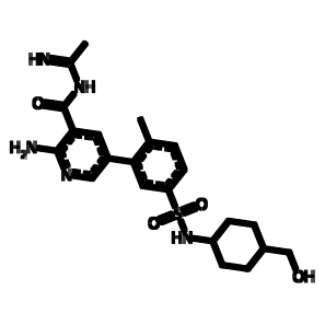 CC(=N)NC(=O)c1cc(-c2cc(S(=O)(=O)NC3CCC(CO)CC3)ccc2C)cnc1N